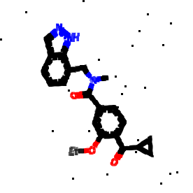 CCOc1cc(C(=O)N(C)Cc2cccc3cn[nH]c23)ccc1C(=O)C1CC1